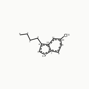 CCCCc1csc2ccc(Cl)cc12